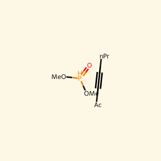 CCCC#CC(C)=O.CO[PH](=O)OC